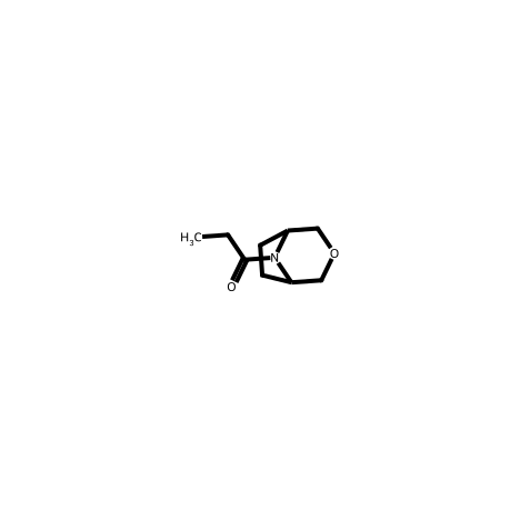 CCC(=O)N1C2CCC1COC2